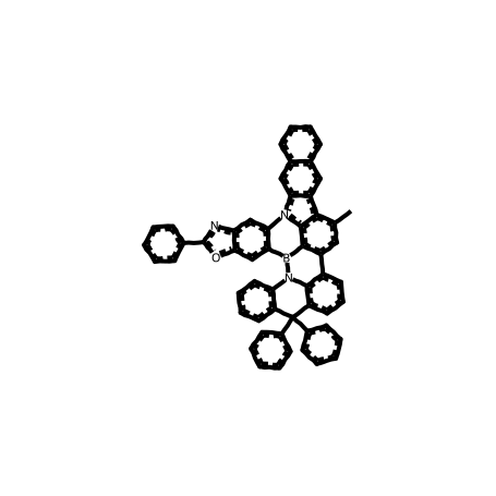 Cc1cc2c3c4c1c1cc5ccccc5cc1n4-c1cc4nc(-c5ccccc5)oc4cc1B3N1c3ccccc3C(c3ccccc3)(c3ccccc3)c3cccc-2c31